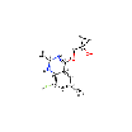 CCc1nc(OCC2(O)CC2)c2cc(C)cc(F)c2n1